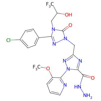 NNC(=O)c1nc(Cn2nc(-c3ccc(Cl)cc3)n(CC(O)C(F)(F)F)c2=O)nn1-c1ncccc1OC(F)(F)F